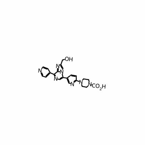 O=C(O)N1CCN(c2ccc(-c3cnc(-c4ccncc4)c4nc(CO)cn34)cn2)CC1